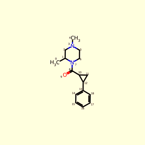 CC1CN(C)CCN1C(=O)C1CC1c1ccccc1